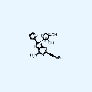 CCCCC#Cc1nc(N)c2nc(-c3ccco3)n([C@@H]3OC[C@@H](O)[C@H]3O)c2n1